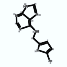 CC(=O)c1ccc(CNc2ncnc3[nH]cnc23)o1